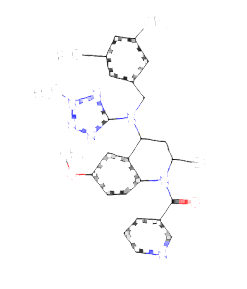 CCC1CC(N(Cc2cc(C(F)(F)F)cc(C(F)(F)F)c2)c2nnn(C)n2)c2cc(OC(F)(F)F)ccc2N1C(=O)c1cccnc1